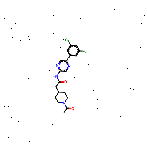 CC(=O)N1CCC(CC(=O)Nc2cnc(-c3cc(Cl)cc(Cl)c3)cn2)CC1